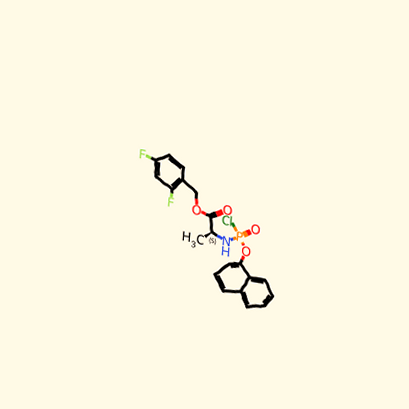 C[C@H](NP(=O)(Cl)Oc1cccc2ccccc12)C(=O)OCc1ccc(F)cc1F